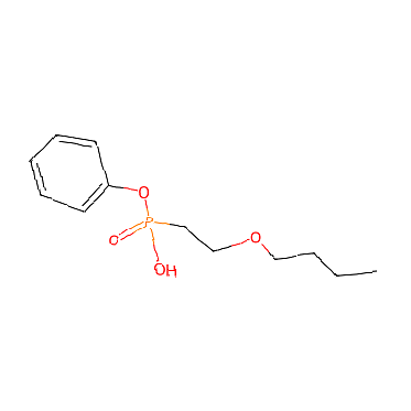 CCCCOCCP(=O)(O)Oc1ccccc1